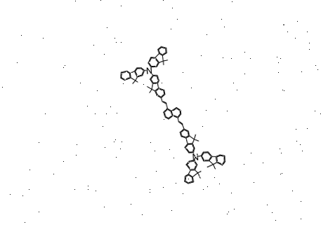 CC1(C)c2ccccc2-c2ccc(N(c3ccc4c(c3)C(C)(C)c3ccccc3-4)c3ccc4c(c3)C(C)(C)c3cc(/C=C/c5cccc6c(/C=C/c7ccc8c(c7)C(C)(C)c7cc(N(c9ccc%10c(c9)C(C)(C)c9ccccc9-%10)c9ccc%10c(c9)C(C)(C)c9ccccc9-%10)ccc7-8)cccc56)ccc3-4)cc21